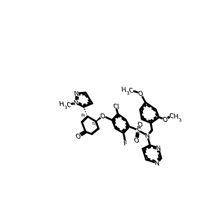 COc1ccc(CN(c2ccncn2)S(=O)(=O)c2cc(Cl)c(O[C@H]3CCC(=O)C[C@@H]3c3ccnn3C)cc2F)c(OC)c1